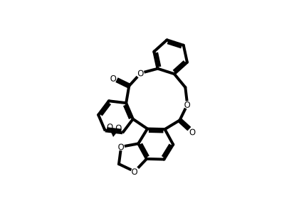 O=C1OCc2ccccc2OC(=O)c2ccc3c(c2-c2c1ccc1c2OCO1)OCO3